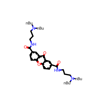 CCCCN(CCCC)CCCNC(=O)c1ccc2oc3ccc(C(=O)NCCCN(CCCC)CCCC)cc3c(=O)c2c1